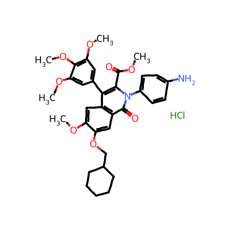 COC(=O)c1c(-c2cc(OC)c(OC)c(OC)c2)c2cc(OC)c(OCC3CCCCC3)cc2c(=O)n1-c1ccc(N)cc1.Cl